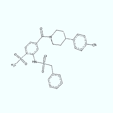 CS(=O)(=O)c1ccc(C(=O)N2CCC(c3ccc(C#N)cc3)CC2)cc1NS(=O)(=O)Cc1ccccc1